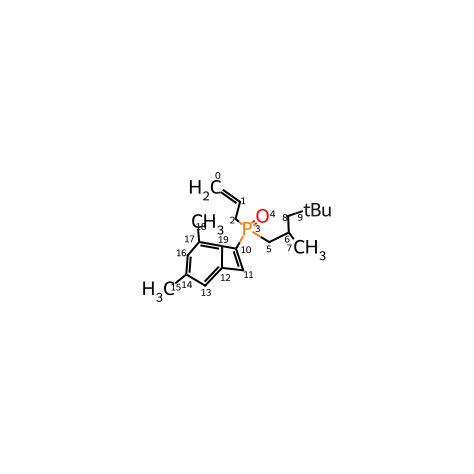 C=CCP(=O)(CC(C)CC(C)(C)C)C1=Cc2cc(C)cc(C)c21